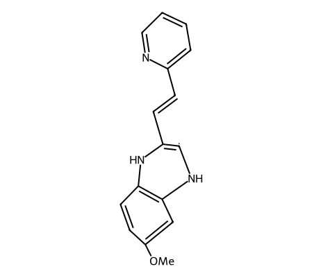 COc1ccc2c(c1)N[C]=C(C=Cc1ccccn1)N2